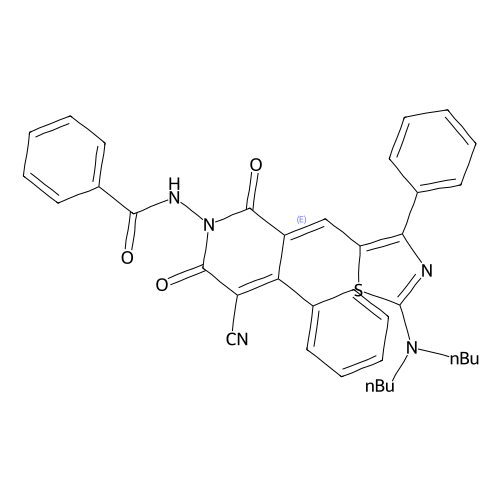 CCCCN(CCCC)c1nc(-c2ccccc2)c(/C=C2/C(=O)N(NC(=O)c3ccccc3)C(=O)C(C#N)=C2c2ccccc2)s1